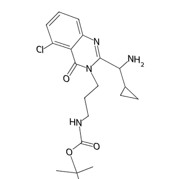 CC(C)(C)OC(=O)NCCCn1c(C(N)C2CC2)nc2cccc(Cl)c2c1=O